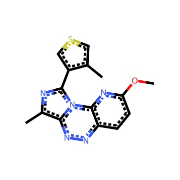 COc1ccc2nnc3c(C)nc(-c4cscc4C)n3c2n1